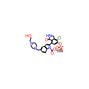 CC(C)(C)OC(=O)n1c(-c2cc(OS(C)(=O)=O)c(Cl)c3c2C(=O)NC3)cc2cc(CN3CCN(CCO)CC3)ccc21